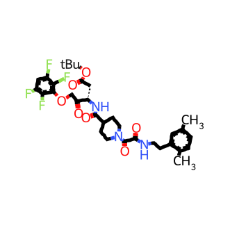 Cc1ccc(C)c(CCNC(=O)C(=O)N2CCC(C(=O)N[C@@H](CC(=O)OC(C)(C)C)C(=O)COc3c(F)c(F)cc(F)c3F)CC2)c1